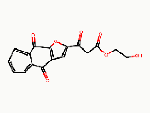 O=C(CC(=O)c1cc2c(o1)C(=O)c1ccccc1C2=O)OCCO